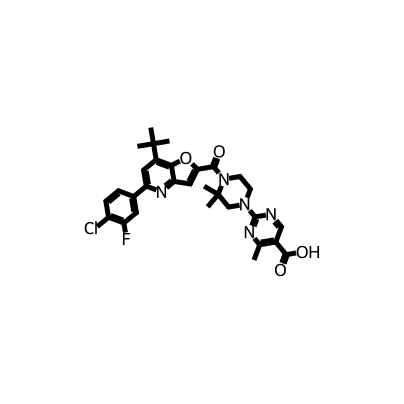 Cc1nc(N2CCN(C(=O)c3cc4nc(-c5ccc(Cl)c(F)c5)cc(C(C)(C)C)c4o3)C(C)(C)C2)ncc1C(=O)O